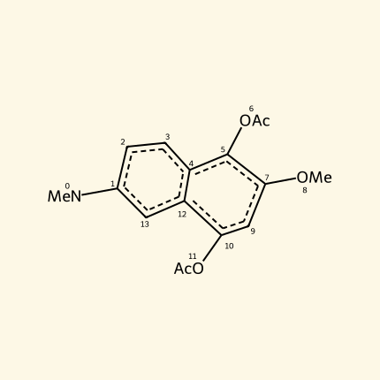 CNc1ccc2c(OC(C)=O)c(OC)cc(OC(C)=O)c2c1